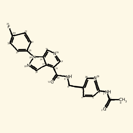 CC(=O)Nc1ccc(CNC(=O)c2cncc3c2cnn3-c2ccc(F)cc2)cn1